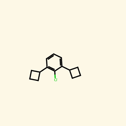 Clc1c(C2CCC2)cccc1C1CCC1